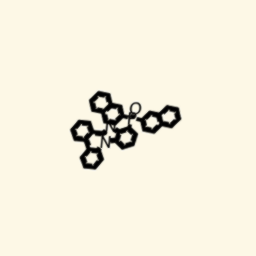 O=P(c1ccc2ccccc2c1)(c1ccc2ccccc2c1)c1cccc2c1nc1c3ccccc3c3ccccc3n21